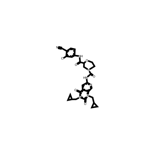 N#Cc1ccc(NC(=O)C2CN(C(=O)Nc3cc4c(=O)n(CC5CC5)c(=O)n(CC5CC5)c4cn3)CCO2)cc1Cl